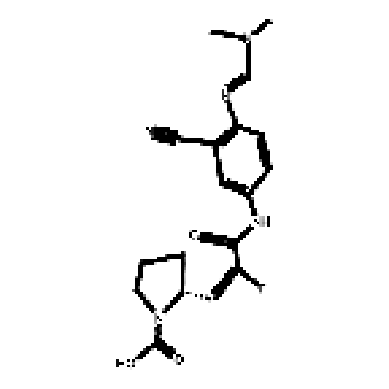 CN(C)/C=N/c1ccc(NC(=O)/C(F)=C\[C@H]2CCCN2C(=O)O)cc1C#N